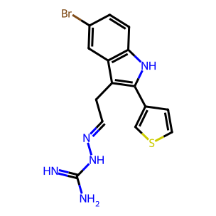 N=C(N)NN=CCc1c(-c2ccsc2)[nH]c2ccc(Br)cc12